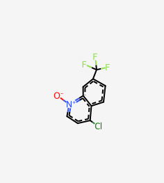 [O-][n+]1ccc(Cl)c2ccc(C(F)(F)F)cc21